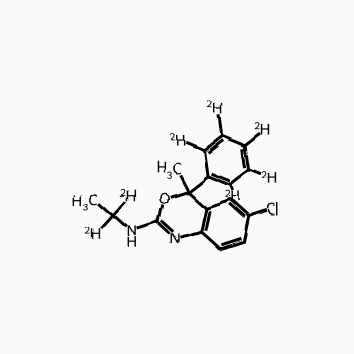 [2H]c1c([2H])c([2H])c(C2(C)OC(NC([2H])([2H])C)=Nc3ccc(Cl)cc32)c([2H])c1[2H]